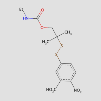 CCNC(=O)OCC(C)(C)SSc1ccc([N+](=O)[O-])c(C(=O)O)c1